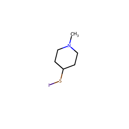 CN1CCC(SI)CC1